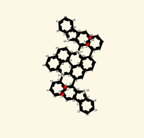 c1ccc(-c2ccc3cc(-c4cccc5c4sc4ccccc45)c4c5c3c2n(-c2cccc3c2sc2ccccc23)c2ccc3cccc(c3c2-5)n4-c2ccccc2)cc1